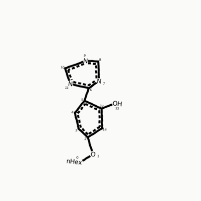 CCCCCCOc1ccc(-c2ncncn2)c(O)c1